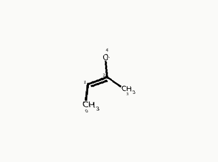 C/C=C(\C)[O]